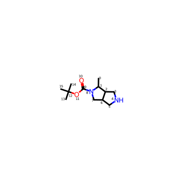 CC1C2CNCC2CN1C(=O)OC(C)(C)C